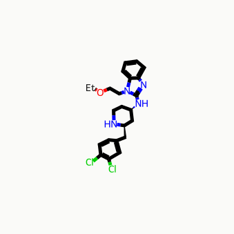 CCOCCn1c(N[C@H]2CCN[C@H](Cc3ccc(Cl)c(Cl)c3)C2)nc2ccccc21